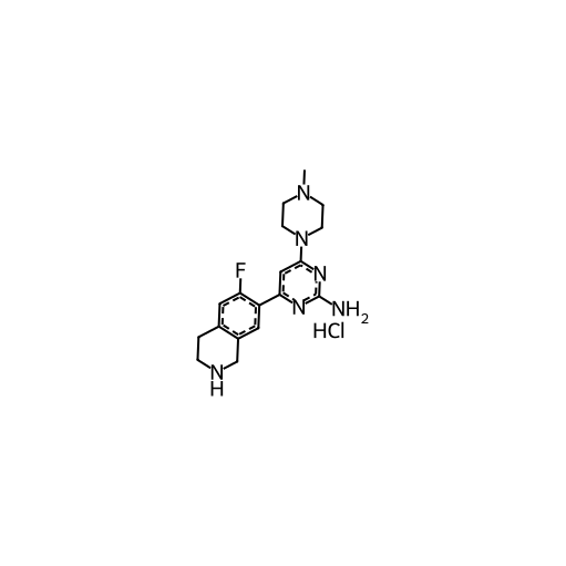 CN1CCN(c2cc(-c3cc4c(cc3F)CCNC4)nc(N)n2)CC1.Cl